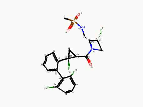 CS(=O)(=O)NC[C@@H]1[C@H](F)CN1C(=O)[C@@H]1C[C@@]1(F)c1ccccc1-c1c(F)cccc1F